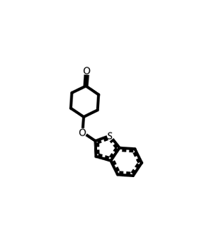 O=C1CCC(Oc2cc3ccccc3s2)CC1